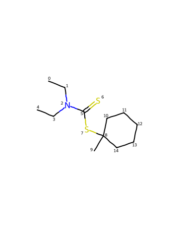 CCN(CC)C(=S)SC1(C)CCCCC1